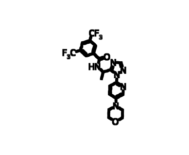 CC(NC(=O)c1cc(C(F)(F)F)cc(C(F)(F)F)c1)c1ncnn1-c1ccc(N2CCOCC2)cn1